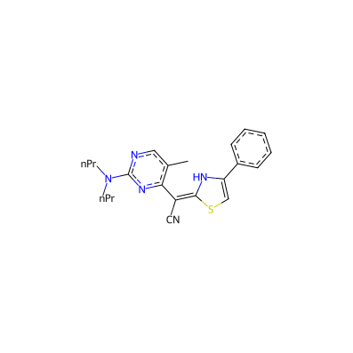 CCCN(CCC)c1ncc(C)c(C(C#N)=C2NC(c3ccccc3)=CS2)n1